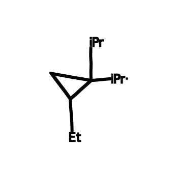 [CH2]C(C)C1([C](C)C)CC1CC